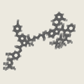 CC1CN(CC(=O)N2C[C@@](C)(C(=O)NCCCC(=O)Nc3ccc4c(c3)C(C(=O)Nc3c(F)cccc3F)N(C(=O)C(NC(=O)[C@H](C)N(C)C(=O)OC(C)(C)C)C3CCOCC3)C4)c3ccc(Cc4ccc(F)cc4)cc32)CCN1C(=O)OC(C)(C)C